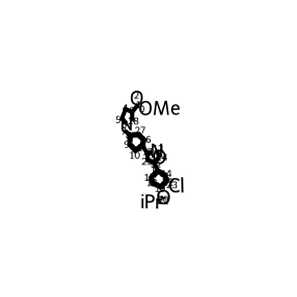 COC(=O)C1CCN(Cc2ccc(C3=NOC(c4ccc(OC(C)C)c(Cl)c4)C3)cc2)C1